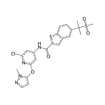 Cn1nccc1Oc1cc(NC(=O)c2cc3cc(C(C)(C)S(C)(=O)=O)ccc3s2)cc(Cl)n1